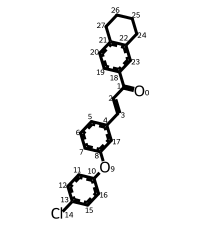 O=C(C=Cc1cccc(Oc2ccc(Cl)cc2)c1)c1ccc2c(c1)CCCC2